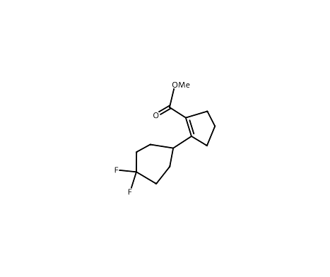 COC(=O)C1=C(C2CCC(F)(F)CC2)CCC1